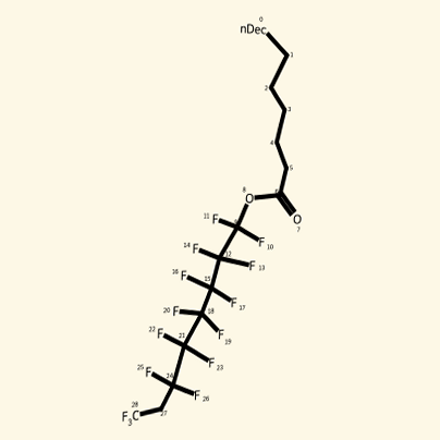 CCCCCCCCCCCCCCCC(=O)OC(F)(F)C(F)(F)C(F)(F)C(F)(F)C(F)(F)C(F)(F)CC(F)(F)F